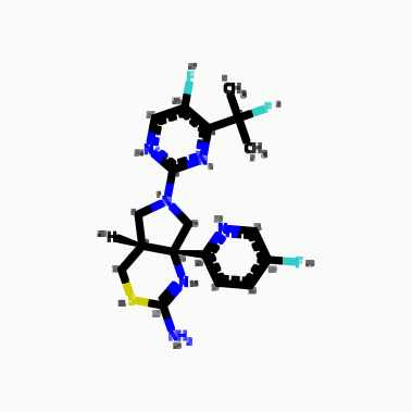 CC(C)(F)c1nc(N2C[C@H]3CSC(N)=N[C@@]3(c3ccc(F)cn3)C2)ncc1F